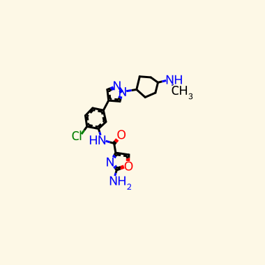 CNC1CCC(n2cc(-c3ccc(Cl)c(NC(=O)c4coc(N)n4)c3)cn2)CC1